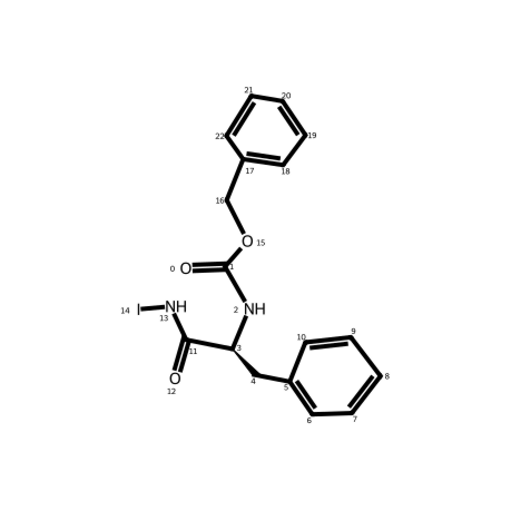 O=C(N[C@@H](Cc1ccccc1)C(=O)NI)OCc1ccccc1